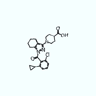 O=C(O)C1CCN(c2nn(C(=O)c3c(Cl)cccc3C3CC3)c3c2CCCC3)CC1